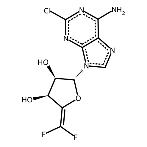 Nc1nc(Cl)nc2c1ncn2[C@@H]1OC(=C(F)F)[C@@H](O)[C@H]1O